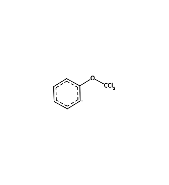 ClC(Cl)(Cl)Oc1[c]cccc1